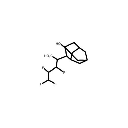 O=S(=O)(O)C(C(F)C(F)C(F)F)C1C2CC3CC(C2)CC1(O)C3